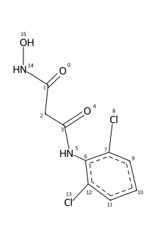 O=C(CC(=O)Nc1c(Cl)cccc1Cl)NO